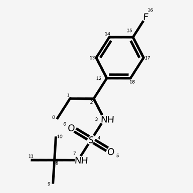 CCC(NS(=O)(=O)NC(C)(C)C)c1ccc(F)cc1